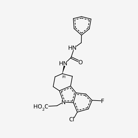 O=C(O)Cn1c2c(c3cc(F)cc(Cl)c31)C[C@H](NC(=O)NCc1ccccc1)CC2